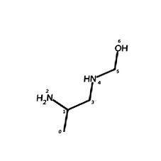 CC(N)CNCO